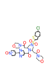 O=C(CC1CN(S(=O)(=O)c2cc3ccc(Cl)cc3s2)CC(CC(=O)N2CCOCC2)N1C(=O)c1cnc(-c2cc[n+]([O-])cc2)nc1)N1CCOCC1